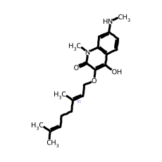 CNc1ccc2c(O)c(OC/C=C(\C)CCC=C(C)C)c(=O)n(C)c2c1